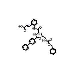 O=C(O)/C=C/c1ccccc1NC(=O)[C@H](CCCNC(=O)OCc1ccccc1)NC(=O)c1ccc(-c2ccccc2)cc1